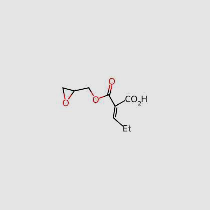 CCC=C(C(=O)O)C(=O)OCC1CO1